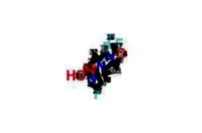 CC(C)(C)[C@]1(C(=O)N2CC3(CC3)N(C(=O)C(F)(F)F)CC23CC3)C[C@@H](F)CN1C(=O)O